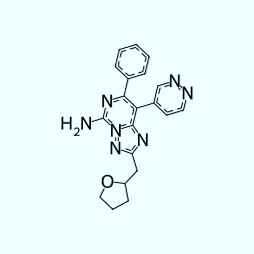 Nc1nc(-c2ccccc2)c(-c2ccnnc2)c2nc(CC3CCCO3)nn12